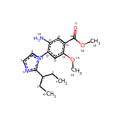 CCC(CC)c1nccn1-c1cc(OC)c(C(=O)OC)cc1N